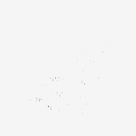 CNC(=O)c1nc(-c2cccc(CNC3CCc4c(-c5cccs5)cccc43)c2)cnc1N